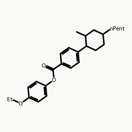 CCCCCC1CCC(c2ccc(C(=O)Oc3ccc(OCC)cc3)cc2)C(C)C1